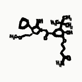 COCC[C@H]1CN(CC(=O)c2cc(OCCCC(N)=O)c(O)c(C(C)(C)C)c2)C(=N)[C@@H]1c1ccccc1